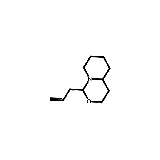 C=CCC1OCCC2CCCCN21